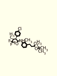 Cc1c(CCC(=O)OC(C)(C)C)cccc1NC(=O)[C@H](c1ccc(Cl)cc1)[C@@H](C)C(F)(F)F